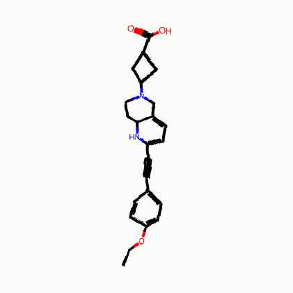 CCOc1ccc(C#CC2=CC=C3CN(C4CC(C(=O)O)C4)CCC3N2)cc1